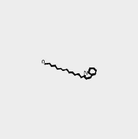 O=CCCCCCCCCCCCCc1ccc2ccccc2n1